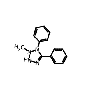 CN1NN=C(c2ccccc2)N1c1ccccc1